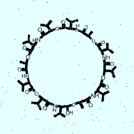 CC1OC(=O)C(C(C)C)NC(=O)C(C(C)C)OC(=O)C(C(C)C)NC(=O)C(C)OC(=O)C(C(C)C)NC(=O)C(C(C)C)OC(=O)C(C(C)C)NC(=O)C(C)OC(O)C(C(C)C)NC(=O)C(C(C)C)OC(=O)C(C(C)C)NC1=O